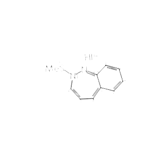 CSN1C=CC=c2ccccc2=N1.I